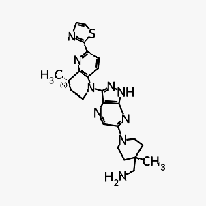 C[C@H]1CCN(c2n[nH]c3nc(N4CCC(C)(CN)CC4)cnc23)c2ccc(-c3nccs3)nc21